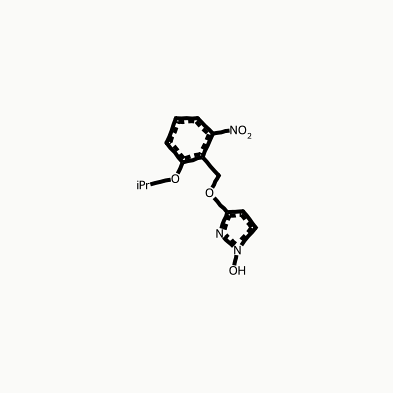 CC(C)Oc1cccc([N+](=O)[O-])c1COc1ccn(O)n1